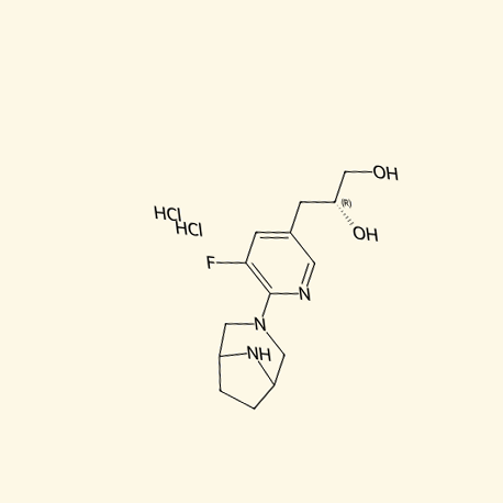 Cl.Cl.OC[C@H](O)Cc1cnc(N2CC3CCC(C2)N3)c(F)c1